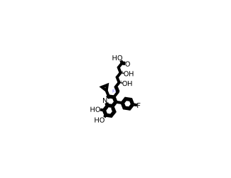 O=C(O)C[C@H](O)C[C@H](O)/C=C/c1c(C2CC2)nc2c(O)c(O)ccc2c1-c1ccc(F)cc1